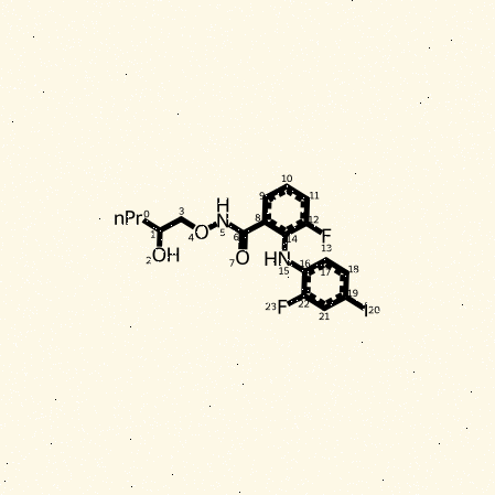 CCCC(O)CONC(=O)c1cccc(F)c1Nc1ccc(I)cc1F